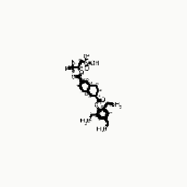 BCc1cc(CB)c(OC(=O)C2CCC3CC(C(=O)OC(CS(=O)(=O)O)C(F)(F)F)CCC3C2)c(CB)c1